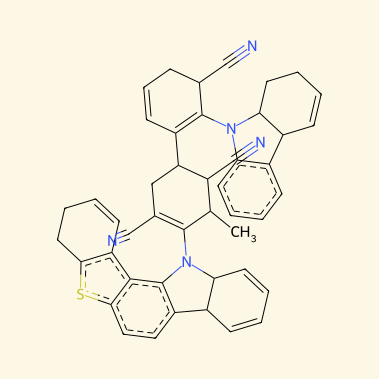 CC1C(N2c3c(ccc4sc5c(c34)C=CCC5)C3C=CC=CC32)=C(C#N)CC(C2=C(N3c4ccccc4C4C=CCCC43)C(C#N)CC=C2)C1C#N